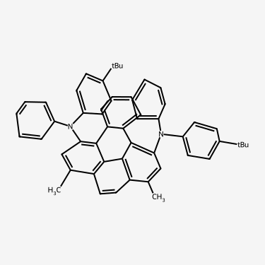 Cc1cc(N(c2ccccc2)c2ccc(C(C)(C)C)cc2)c2c3ccccc3c3c(N(c4ccccc4)c4ccc(C(C)(C)C)cc4)cc(C)c4ccc1c2c43